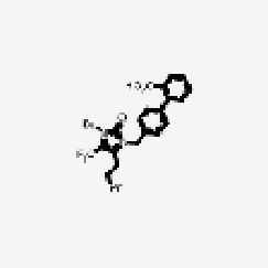 CCC(C)n1c(C(F)(F)F)c(CCC(C)C)n(Cc2ccc(-c3ccccc3C(=O)O)cc2)c1=O